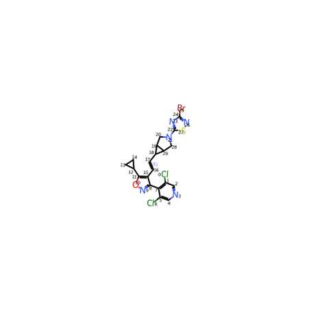 Clc1cncc(Cl)c1-c1noc(C2CC2)c1/C=C/C1C2CN(c3nc(Br)ns3)CC12